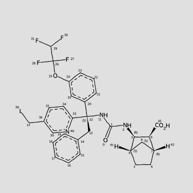 O=C(N[C@@H]1[C@H]2CC[C@H](C2)[C@@H]1C(=O)O)N[C@@](Cc1ccccc1)(c1cccc(OC(F)(F)C(F)F)c1)c1ccc(CI)cn1